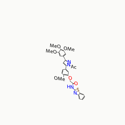 COc1ccc(-c2cc(-c3cc(OC)c(OC)c(OC)c3)nn2C(C)=O)cc1OCC(=O)Nc1nc2ccccc2s1